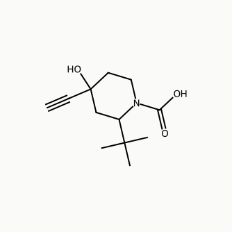 C#CC1(O)CCN(C(=O)O)C(C(C)(C)C)C1